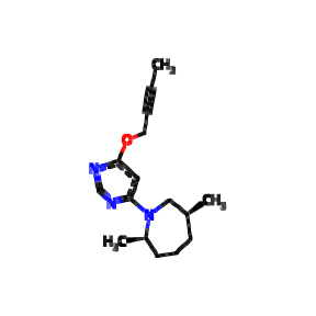 CC#CCOc1cc(N2C[C@@H](C)CCC[C@H]2C)ncn1